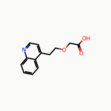 O=C(O)COCCc1ccnc2ccccc12